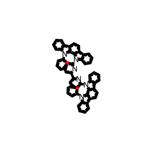 c1ccc(-n2c3ccccc3c3ccc4c5ccccc5n(-c5cccc(-c6cccc(-n7c8ccccc8c8ccc9c%10ccccc%10n(-c%10ccccc%10)c9c87)n6)n5)c4c32)cc1